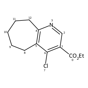 CCOC(=O)c1cnc2c(c1Cl)CCCCC2